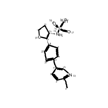 Cc1ccc(-c2ccc([C@@H]3OCC[C@@H]3NS(=O)(=O)C(C)C)cc2)cn1